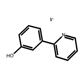 Oc1cccc(-c2ccccn2)c1.[Ir]